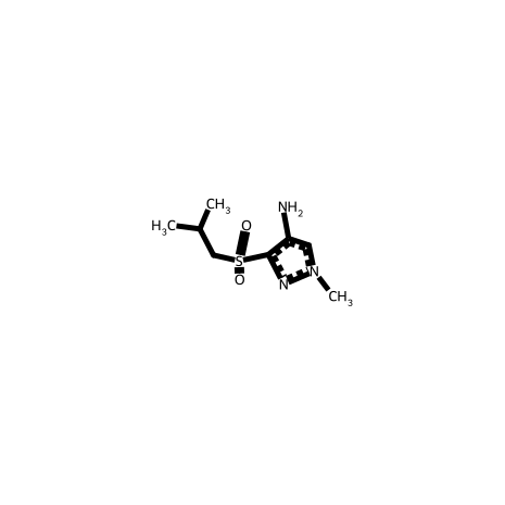 CC(C)CS(=O)(=O)c1nn(C)cc1N